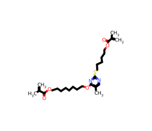 C=C(C)C(=O)OCCCCCCCCOc1nc(SCCCCCCOC(=O)C(=C)C)ncc1C